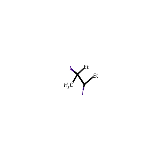 CC[C](I)C(C)(I)CC